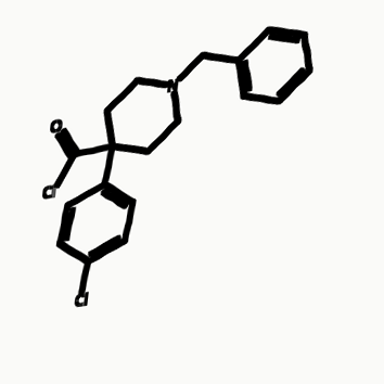 O=C(Cl)C1(c2ccc(Cl)cc2)CCN(Cc2ccccc2)CC1